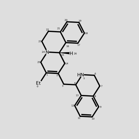 CCC1=C(CC2NCCc3ccccc32)C[C@H]2c3ccccc3CCN2C1